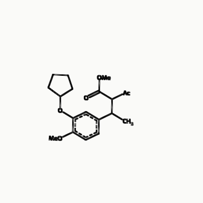 COC(=O)C(C(C)=O)C(C)c1ccc(OC)c(OC2CCCC2)c1